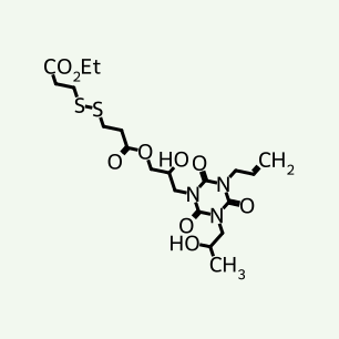 C=CCn1c(=O)n(CC(C)O)c(=O)n(CC(O)COC(=O)CCSSCCC(=O)OCC)c1=O